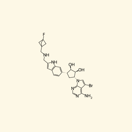 Nc1ncnc2c1c(Br)cn2[C@@H]1C[C@H](c2ccc3cc(CNCC45CC(F)(C4)C5)[nH]c3c2)[C@@H](O)[C@H]1O